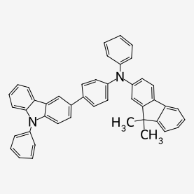 CC1(C)c2ccccc2-c2ccc(N(c3ccccc3)c3ccc(-c4ccc5c(c4)c4ccccc4n5-c4ccccc4)cc3)cc21